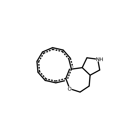 c1ccccc2c(ccc1)OCCC1CNCC21